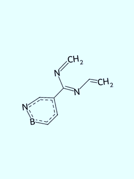 C=C/N=C(\N=C)c1ccbnc1